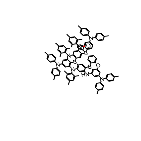 Cc1ccc(N(c2ccc(C)cc2)c2cc3c4c(c2)Oc2ccccc2B4c2cc4c(cc2N3)N(c2c(C)cc(C)cc2C)c2cc(N(c3ccc(C)cc3)c3ccc(C)cc3)cc3c2B4c2cc4c(cc2N3c2c(C)cc(C)cc2C)N(c2c(C)cc(C)cc2C)c2cc(N(c3ccc(C)cc3)c3ccc(C)cc3)cc3c2B4c2ccccc2O3)cc1